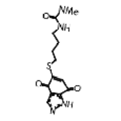 CNC(=O)NCCCCSC1=CC(=O)c2[nH]ncc2C1=O